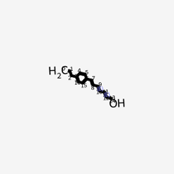 C=CCc1ccc(C=C/C=C/C=C/CO)cc1